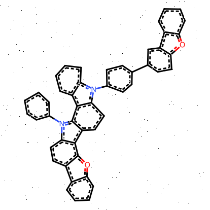 c1ccc(-n2c3ccc4c5ccccc5oc4c3c3ccc4c(c5ccccc5n4-c4ccc(-c5ccc6oc7ccccc7c6c5)cc4)c32)cc1